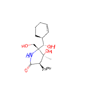 CCC[C@H]1C(=O)N[C@](CO)([C@@H](O)[C@@H]2C=CCCC2)[C@@]1(C)O